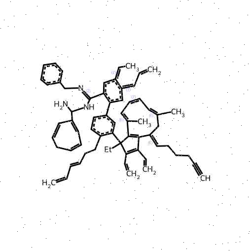 C#CCCC/C=C1\C/C(C)=C/C=C\C=C(/C)C2=C1C(C=C)=C(C=C)C2(CC)c1cc(-c2cc(=C/C=C)/c(=C\C)cc2/C(=N/Cc2ccccc2)NC(N)C2=CC=CCC=C2)ccc1CCC=CC=C